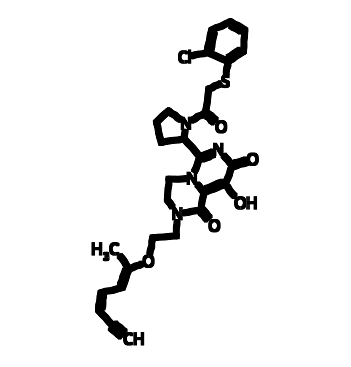 C#C/C=C\C=C(/C)OCCN1CCn2c(C3CCCN3C(=O)CSc3ccccc3Cl)nc(=O)c(O)c2C1=O